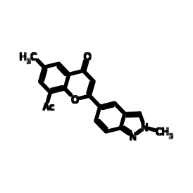 CC(=O)c1cc(C)cc2c(=O)cc(-c3ccc4nn(C)cc4c3)oc12